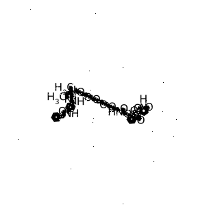 Cc1cc(N(C)CCOCCOCCOCCOCCOCCNC(=O)COc2cccc3c2C(=O)N(C2CCC(=O)NC2=O)C3=O)nc(Nc2ccc(NC(=O)Cc3ccccc3)cc2)n1